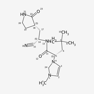 CN1C=CN([C@@H](CC(C)(C)C)C(=O)N[C@H](C#N)C[C@@H]2CCNC2=O)C1